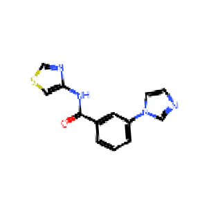 O=C(Nc1cscn1)c1cccc(-n2ccnc2)c1